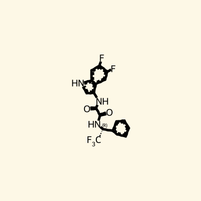 O=C(Nc1c[nH]c2cc(F)c(F)cc12)C(=O)N[C@H](c1ccccc1)C(F)(F)F